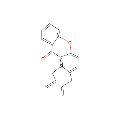 C=CCc1ccc2oc3ccccc3c(=O)c2[si]1CC=C